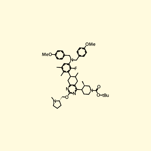 COc1ccc(CN(Cc2ccc(OC)cc2)c2cc(C)c(C)c(C3Cc4nc(OC[C@@H]5CCCN5C)nc(C5CCN(C(=O)OC(C)(C)C)C[C@@H]5C)c4CC3C)c2F)cc1